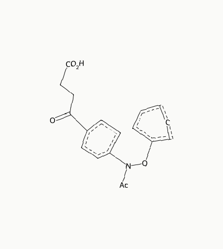 CC(=O)N(Oc1ccccc1)c1ccc(C(=O)CCC(=O)O)cc1